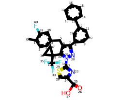 Cc1ccc(Cc2c(-c3cccc(-c4ccccc4)c3)nn(-c3nc(C(=O)O)cs3)c2C2(C(F)(F)F)CC2)cc1F